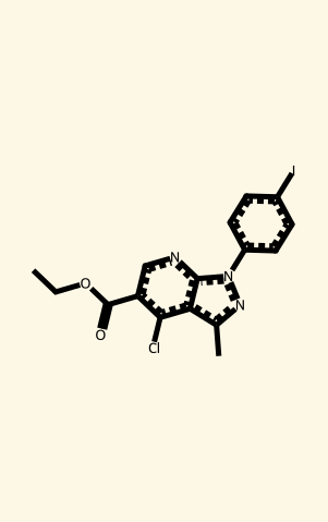 CCOC(=O)c1cnc2c(c(C)nn2-c2ccc(I)cc2)c1Cl